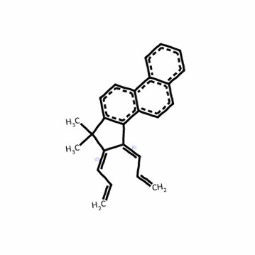 C=C/C=C1\C(=C/C=C)c2c(ccc3c2ccc2ccccc23)C1(C)C